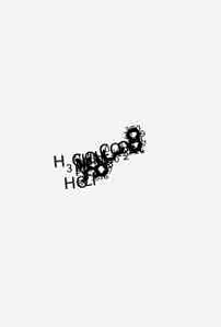 CCOC(=O)c1[nH]c2c(-c3c(CO)nn(C)c3C)c(Cl)ccc2c1CCCOc1cccc2ccccc12